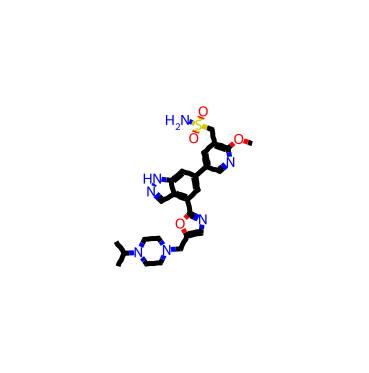 COc1ncc(-c2cc(-c3ncc(CN4CCN(C(C)C)CC4)o3)c3cn[nH]c3c2)cc1CS(N)(=O)=O